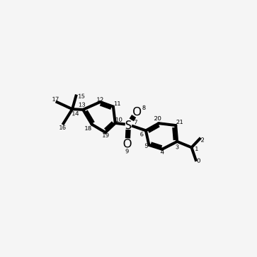 CC(C)c1ccc(S(=O)(=O)c2ccc(C(C)(C)C)cc2)cc1